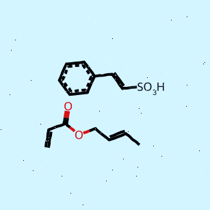 C=CC(=O)OCC=CC.O=S(=O)(O)C=Cc1ccccc1